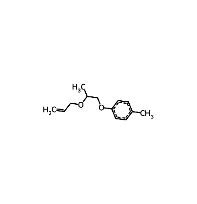 C=CCOC(C)COc1ccc(C)cc1